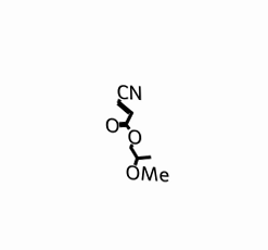 COC(C)COC(=O)C=CC#N